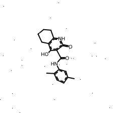 Cc1ccc(C)c(NC(=O)c2c(O)c3c([nH]c2=O)CCCC3)c1